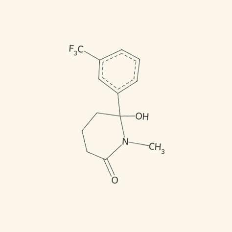 CN1C(=O)CCCC1(O)c1cccc(C(F)(F)F)c1